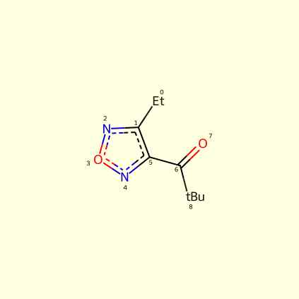 CCc1nonc1C(=O)C(C)(C)C